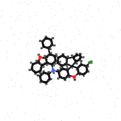 Clc1ccc2c(c1)C1(c3cc(N(c4ccccc4)c4ccc(-c5ccccc5)c5oc6ccccc6c45)ccc3O2)c2ccccc2-c2ccccc21